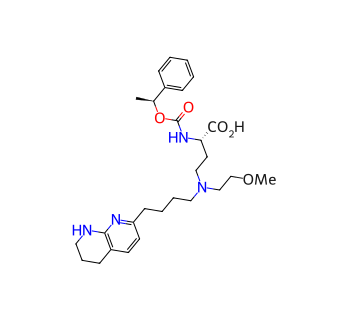 COCCN(CCCCc1ccc2c(n1)NCCC2)CC[C@H](NC(=O)O[C@@H](C)c1ccccc1)C(=O)O